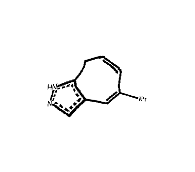 CC(C)C1=Cc2cn[nH]c2CC=C1